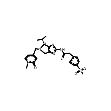 CC(C)[C@H]1c2nc(NC(=O)Cc3ccc(S(C)(=O)=O)cc3)sc2CN1Cc1ccn(C)c(=O)c1